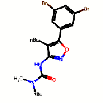 CCCCc1c(NC(=O)N(C)C(C)(C)C)noc1-c1cc(Br)cc(Br)c1